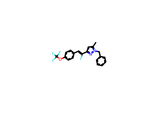 Cc1cc(C(F)=Cc2ccc(OC(F)(F)F)cc2)nn1Cc1c[c]ccc1